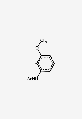 CC(=O)Nc1[c]c(OC(F)(F)F)ccc1